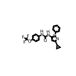 O=C(Nc1ccc(OC(F)(F)F)cc1)Nc1cc(C2CC2)nn1-c1ccccc1